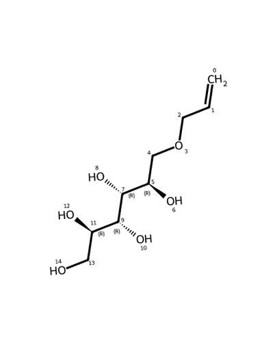 C=CCOC[C@@H](O)[C@@H](O)[C@H](O)[C@H](O)CO